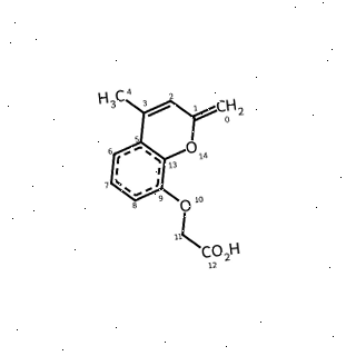 C=C1C=C(C)c2cccc(OCC(=O)O)c2O1